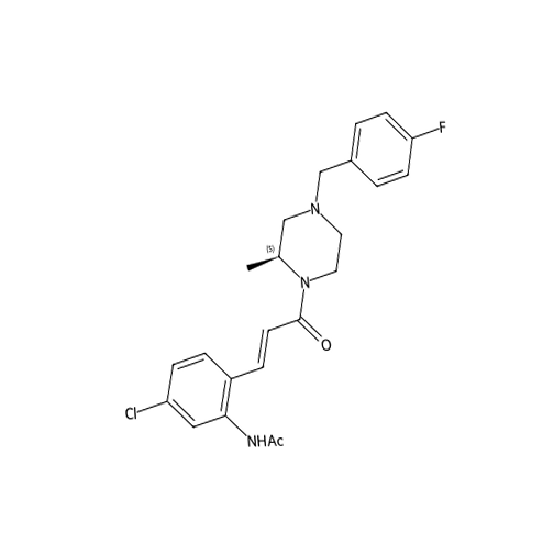 CC(=O)Nc1cc(Cl)ccc1C=CC(=O)N1CCN(Cc2ccc(F)cc2)C[C@@H]1C